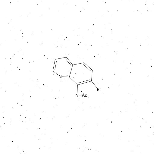 CC(=O)Nc1c(Br)ccc2cccnc12